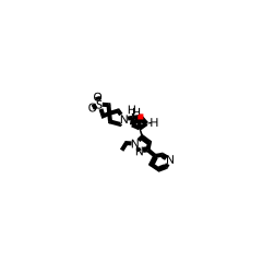 CCn1nc(-c2cccnc2)cc1[C@]12C3[C@@H](N4CCC5(C4)CS(=O)(=O)C5)C[C@@H]1[C@H]32